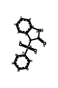 O=C1Nc2ccccc2C1S(=O)(=O)c1ccccc1